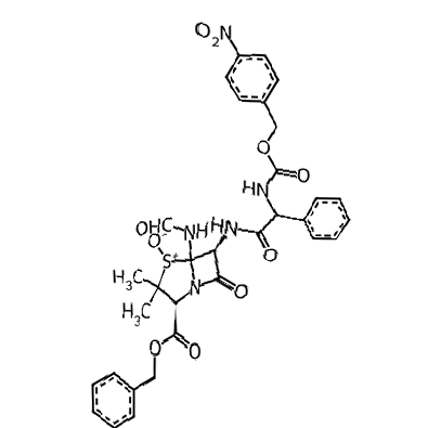 CC1(C)[C@H](C(=O)OCc2ccccc2)N2C(=O)[C@H](NC(=O)C(NC(=O)OCc3ccc([N+](=O)[O-])cc3)c3ccccc3)C2(NC=O)[S+]1[O-]